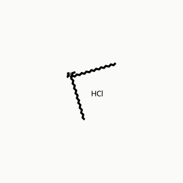 CCCCCCCCCCCCCCCCCCC(CC)(CCCCCCCCCCCCCCCCCC)N(C)C.Cl